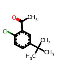 CC(=O)c1cc(C(C)(C)C)ccc1Cl